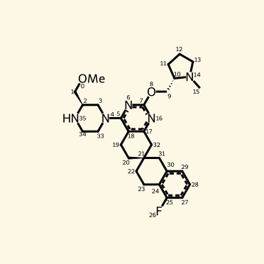 COC[C@H]1CN(c2nc(OC[C@@H]3CCCN3C)nc3c2CC[C@@]2(CCc4c(F)cccc4C2)C3)CCN1